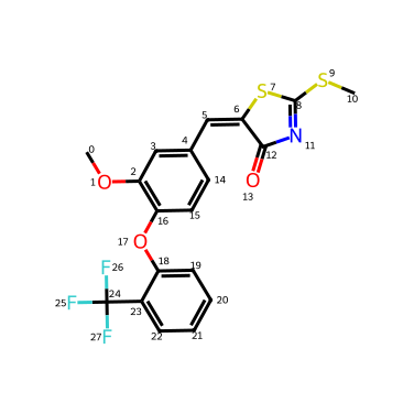 COc1cc(/C=C2/SC(SC)=NC2=O)ccc1Oc1ccccc1C(F)(F)F